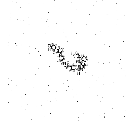 CNC(=O)c1ccccc1Nc1nc(Nc2ccc(N3CCN(CC4CCN(c5cncc(C6CCC(=O)NC6O)c5)CC4)CC3)cc2)ncc1Cl